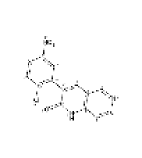 O=c1[nH]c2ccncc2cc1-c1cc([N+](=O)[O-])ccc1Cl